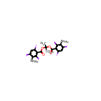 CC(=O)Nc1c(I)cc(I)c(C(=O)OC(C)(OC(=O)c2c(I)cc(I)c(NC(C)=O)c2I)C(=O)O)c1I